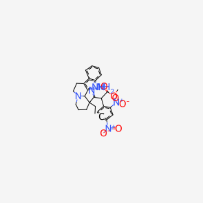 CCC1(C(=NN)C(C(=O)OC)c2ccc([N+](=O)[O-])cc2[N+](=O)[O-])CCCN2CCc3c([nH]c4ccccc34)C21